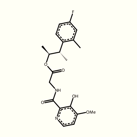 COc1ccnc(C(=O)NCC(=O)O[C@@H](C)[C@@H](C)c2ccc(F)cc2C)c1O